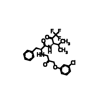 CC(C)[C@H](NC(=O)[C@H](Cc1ccccc1)NCC(=O)COc1cccc(Cl)c1)C(=O)C(F)(F)F